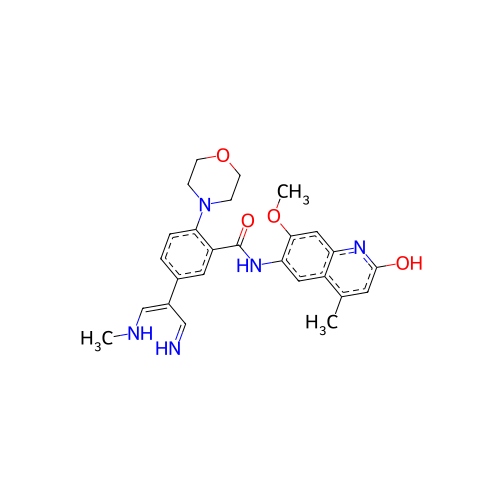 CN/C=C(\C=N)c1ccc(N2CCOCC2)c(C(=O)Nc2cc3c(C)cc(O)nc3cc2OC)c1